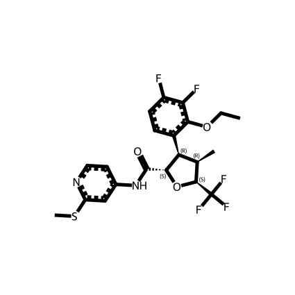 CCOc1c([C@H]2[C@@H](C)[C@@H](C(F)(F)F)O[C@@H]2C(=O)Nc2ccnc(SC)c2)ccc(F)c1F